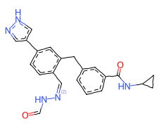 O=CN/N=C\c1ccc(-c2cn[nH]c2)cc1Cc1cccc(C(=O)NC2CC2)c1